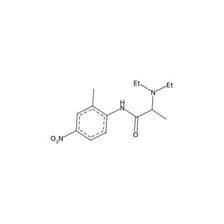 CCN(CC)C(C)C(=O)Nc1ccc([N+](=O)[O-])cc1C